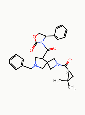 CC1(C)C[C@@H]1C(=O)N1CC2(CN(Cc3ccccc3)CC2C(=O)N2C(=O)OCC2c2ccccc2)C1